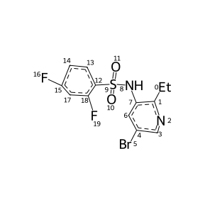 CCc1ncc(Br)cc1NS(=O)(=O)c1ccc(F)cc1F